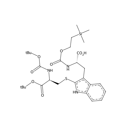 CC(C)(C)OC(=O)N[C@@H](CSc1[nH]c2ccccc2c1C[C@H](NC(=O)OCC[Si](C)(C)C)C(=O)O)C(=O)OC(C)(C)C